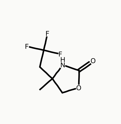 CC1(CC(F)(F)F)COC(=O)N1